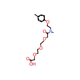 Cc1ccc(OCCN(C)C(=O)COCCOCCOCC(=O)O)cc1